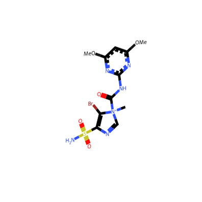 COc1cc(OC)nc(NC(=O)[N+]2(C)C=NC(S(N)(=O)=O)=C2Br)n1